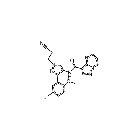 COc1ccc(Cl)cc1-c1nn(CCC#N)cc1NC(=O)c1cnn2cccnc12